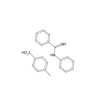 Cc1ccc(S(=O)(=O)O)cc1.N=C(Nc1ccccc1)c1ccccc1